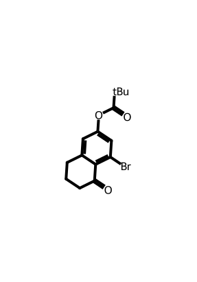 CC(C)(C)C(=O)Oc1cc(Br)c2c(c1)CCCC2=O